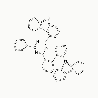 c1ccc(-c2nc(-c3ccccc3-c3ccccc3-n3c4ccccc4c4ccccc43)nc(-c3cccc4oc5ccccc5c34)n2)cc1